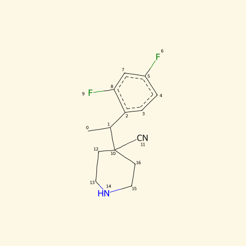 CC(c1ccc(F)cc1F)C1(C#N)CCNCC1